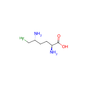 N[C@@H](C[18F])CC[C@H](N)C(=O)O